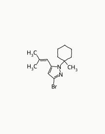 CC(C)=Cc1cc(Br)nn1C1(C)CCCCC1